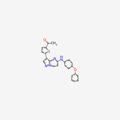 CC(=O)c1ccc(-c2cnn3ccc(Nc4ccc(Oc5ccccc5)cc4)nc23)s1